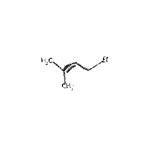 [CH2]C([CH2])=CCCC